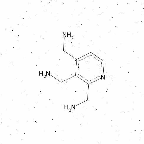 NCc1ccnc(CN)c1CN